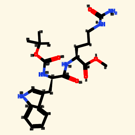 COC(=O)[C@H](CCCNC(N)=O)NC(=O)[C@H](Cc1c[nH]c2ccccc12)NC(=O)OC(C)(C)C